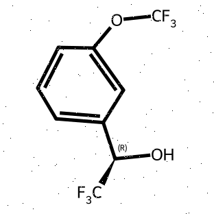 O[C@H](c1cccc(OC(F)(F)F)c1)C(F)(F)F